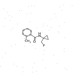 Cc1ccccc1C(=O)NC1(CF)CC1